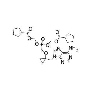 Nc1ncnc2c1ncn2CC1(OCP(=O)(OCOC(=O)C2CCCC2)OCOC(=O)C2CCCC2)CC1